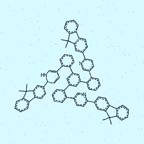 CC1(C)c2ccccc2-c2ccc(-c3ccc(-c4ccccc4-c4cc(-c5ccccc5C5=CNC(c6ccc7c(c6)C(C)(C)c6ccccc6-7)C=C5)cc(-c5ccccc5-c5ccc(-c6ccc7c(c6)C(C)(C)c6ccccc6-7)nc5)c4)cn3)cc21